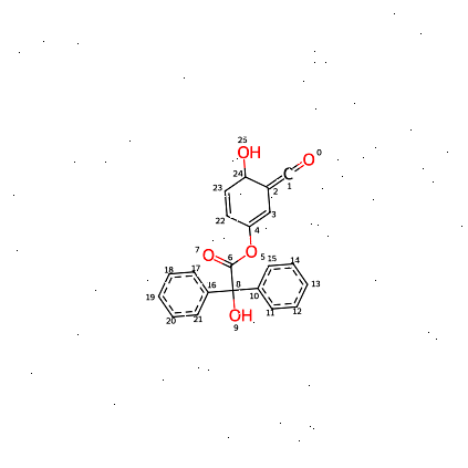 O=C=C1C=C(OC(=O)C(O)(c2ccccc2)c2ccccc2)C=CC1O